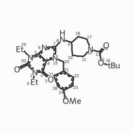 CCn1c(=O)c2c(nc(NC3CCN(C(=O)OC(C)(C)C)CC3)n2Cc2ccc(OC)cc2)n(CC)c1=O